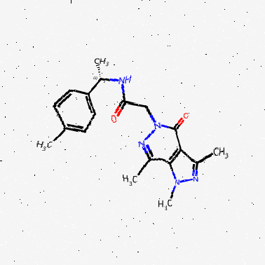 Cc1ccc([C@H](C)NC(=O)Cn2nc(C)c3c(c(C)nn3C)c2=O)cc1